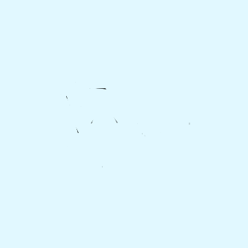 CO[C@H]1C([C@@]2(C)O[C@@H]2/C=C/C(C)C)[C@]2(CC[C@H]1OC(=O)N1CCCC1CO)CO2